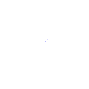 CC(C)N(C)[C@H]1C[C@H](C)C1